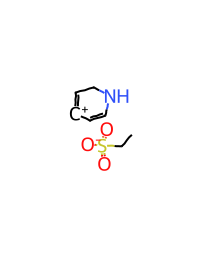 CCS(=O)(=O)[O-].[C+]1=CCNC=C1